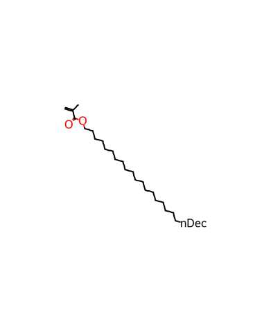 C=C(C)C(=O)OCCCCCCCCCCCCCCCCCCCCCCCCCCCCC